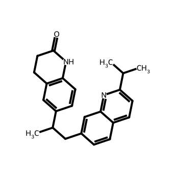 CC(C)c1ccc2ccc(CC(C)c3ccc4c(c3)CCC(=O)N4)cc2n1